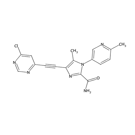 Cc1ccc(-n2c(C(N)=O)nc(C#Cc3cc(Cl)ncn3)c2C)cn1